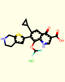 Cl.O=C(O)c1c[nH]c2c(OC(F)F)c(-c3cc4c(s3)CNCC4)c(C3CC3)cc2c1=O